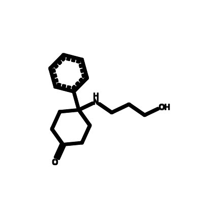 O=C1CCC(NCCCO)(c2ccccc2)CC1